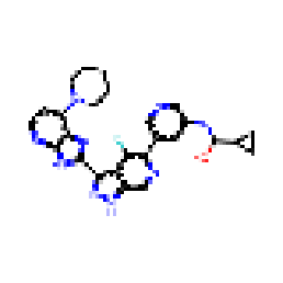 OC(Nc1cncc(-c2ncc3[nH]nc(-c4nc5c(N6CCCCC6)ccnc5[nH]4)c3c2F)c1)C1CC1